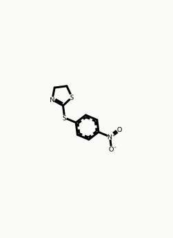 O=[N+]([O-])c1ccc(SC2=NCCS2)cc1